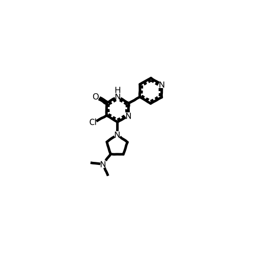 CN(C)C1CCN(c2nc(-c3ccncc3)[nH]c(=O)c2Cl)C1